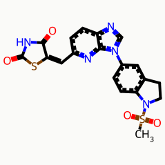 CS(=O)(=O)N1CCc2cc(-n3cnc4ccc(C=C5SC(=O)NC5=O)nc43)ccc21